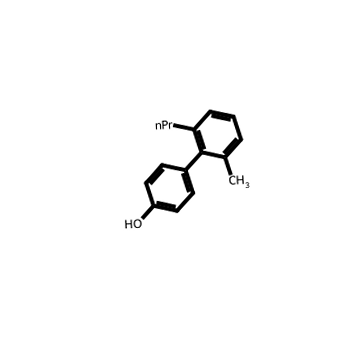 CCCc1cccc(C)c1-c1ccc(O)cc1